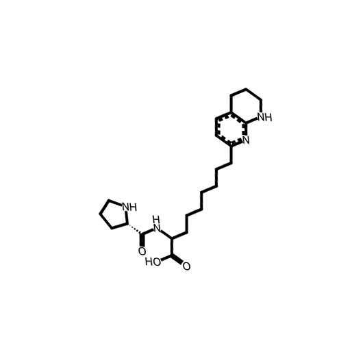 O=C(O)C(CCCCCCCc1ccc2c(n1)NCCC2)NC(=O)[C@@H]1CCCN1